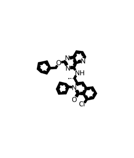 C[C@H](Nc1nc(OCc2ccccc2)nc2cccnc12)c1cc2cccc(Cl)c2c(=O)n1-c1ccccc1